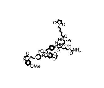 COc1ccc2ncc(=O)n(CCN3CC[C@@H](N(Cc4cc5c(cn4)OCCO5)C(=O)OCc4ccc(NC(=O)[C@H](CCCNC(N)=O)NC(=O)[C@@H](NC(=O)CCCCCN5C(=O)C=CC5=O)C(C)C)cc4)[C@H](F)C3)c2c1